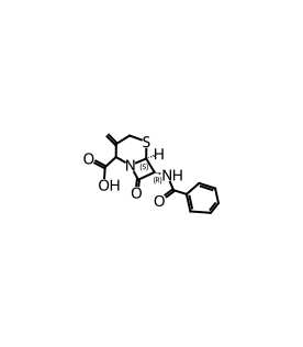 C=C1CS[C@H]2[C@H](NC(=O)c3ccccc3)C(=O)N2C1C(=O)O